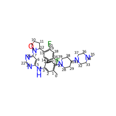 Cc1cc(Nc2cc(N3OCCC3c3ccc(F)cc3F)ncn2)ccc1N1CCC(N2CCN(C)CC2)CC1